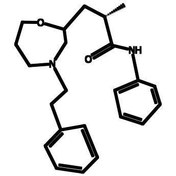 C[C@@H](CC1CN(CCc2ccccc2)CCCO1)C(=O)Nc1ccccc1